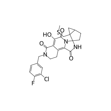 CSCC12CC1CCC21NC(=O)c2c3c(c(O)c(=O)n21)C(=O)N(Cc1ccc(F)c(Cl)c1)CC3